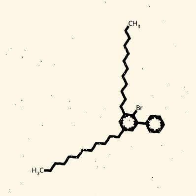 CCCCCCCCCCCCc1cc(CCCCCCCCCCCC)c(Br)c(-c2ccccc2)c1